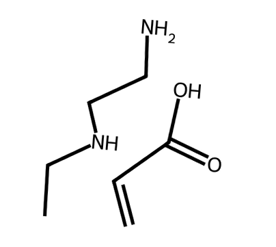 C=CC(=O)O.CCNCCN